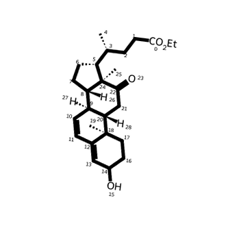 CCOC(=O)CC[C@@H](C)[C@H]1CC[C@H]2[C@@H]3C=CC4=CC(O)CC[C@]4(C)[C@H]3CC(=O)[C@]12C